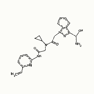 C=Cc1cccc(NC(=O)CN(C(=O)Cn2nc(C(N)O)c3ccccc32)C2CC2)n1